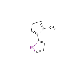 CC1=[C]CC=C1c1ccc[pH]1